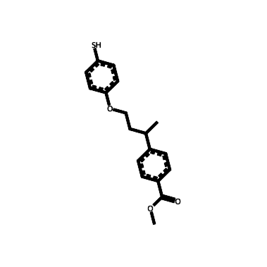 COC(=O)c1ccc(C(C)CCOc2ccc(S)cc2)cc1